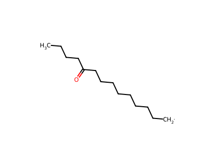 [CH2]CCCCCCCCC(=O)CCCC